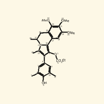 CCOC(=O)Oc1c(-c2cc(C)c(O)c(C)c2)c(C)n2c1-c1cc(OC)c(OC)c(OC)c1CC2C